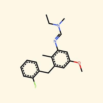 CCN(C)C=Nc1cc(OC)cc(Cc2ccccc2F)c1C